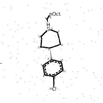 CCCCCCCCC[Si@H]1CC[C@H](c2ccc(Cl)cc2)CC1